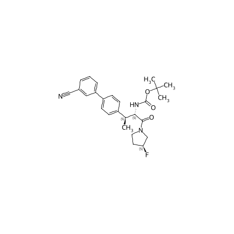 C[C@@H](c1ccc(-c2cccc(C#N)c2)cc1)[C@H](NC(=O)OC(C)(C)C)C(=O)N1CC[C@H](F)C1